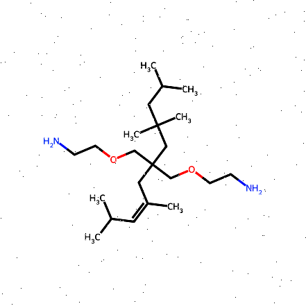 C/C(=C/C(C)C)CC(COCCN)(COCCN)CC(C)(C)CC(C)C